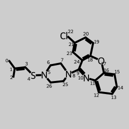 CC(C)=CSN1CCN(C2=Nc3ccccc3Oc3ccc(Cl)cc32)CC1